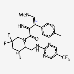 CN/C=C(\C(=N)C(=O)N1CC(F)(F)C[C@@H](C)C1CNc1ncc(C(F)(F)F)cn1)c1ccc(C)nc1